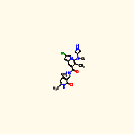 CCN(c1c(C)c(C(=O)NCc2c(C)cc(C)[nH]c2=O)cc2cc(Br)cn12)C1CNC1